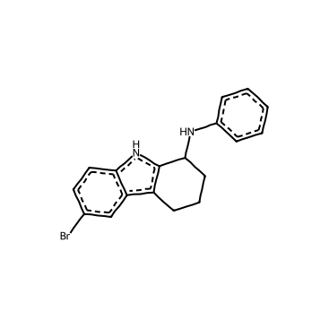 Brc1ccc2[nH]c3c(c2c1)CCCC3Nc1ccccc1